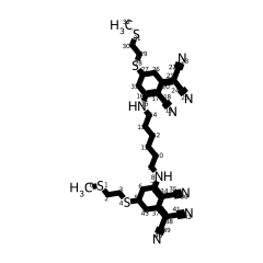 CSCCSC1CC(NCCCCCCNC2=C(C#N)C(=C(C#N)C#N)CC(SCCSC)C2)=C(C#N)C(=C(C#N)C#N)C1